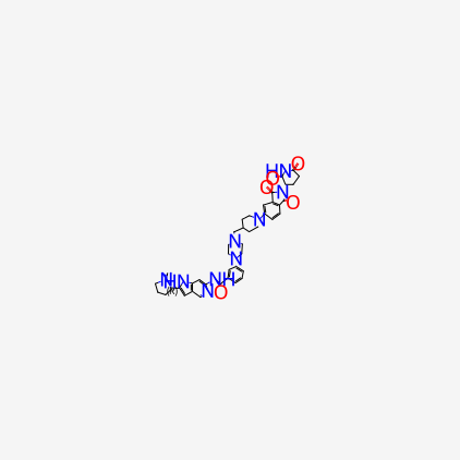 CN1CCC[C@@H]1c1cc2cnc(NC(=O)c3cccc(N4CCN(CC5CCN(c6ccc7c(c6)C(=O)N(C6CCC(=O)NC6=O)C7=O)CC5)CC4)c3)cc2[nH]1